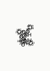 COC(=O)C(CCN[C@@H](Cc1ccccc1)C(=O)OC(C)(C)C)(CCc1ccccc1)NC(=O)OCc1ccccc1